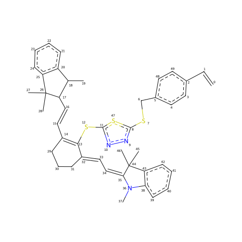 C=Cc1ccc(CSc2nnc(SC3=C(/C=C/C4C(C)c5ccccc5C4(C)C)CCC/C3=C\C=C3\N(C)c4ccccc4C3(C)C)s2)cc1